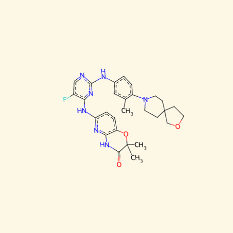 Cc1cc(Nc2ncc(F)c(Nc3ccc4c(n3)NC(=O)C(C)(C)O4)n2)ccc1N1CCC2(CCOC2)CC1